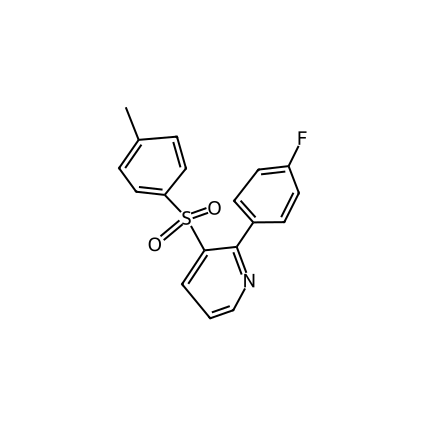 Cc1ccc(S(=O)(=O)c2cccnc2-c2ccc(F)cc2)cc1